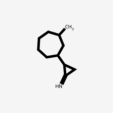 CC1CCCCC(C2CC2=N)C1